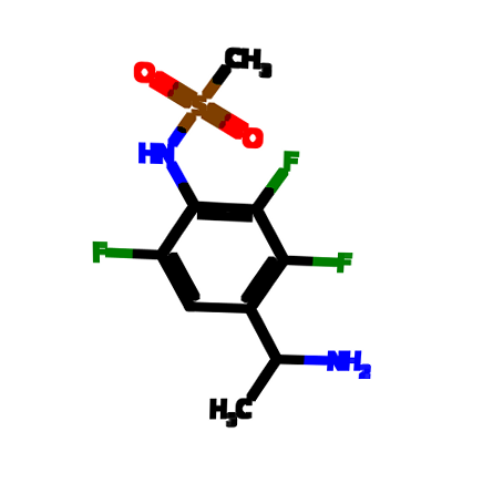 CC(N)c1cc(F)c(NS(C)(=O)=O)c(F)c1F